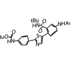 CC(=O)Nc1ccc(-c2cnc(-c3ccc(NC(=O)OCC(C)C)cc3)s2)c(S(=O)(=O)NC(C)(C)C)c1